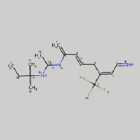 C=C(/C=C/C/C(=C\C=N)C(F)(F)F)/N=C(\C)NC(C)(C)CC